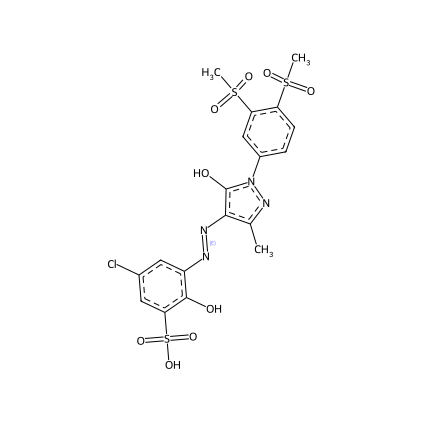 Cc1nn(-c2ccc(S(C)(=O)=O)c(S(C)(=O)=O)c2)c(O)c1/N=N/c1cc(Cl)cc(S(=O)(=O)O)c1O